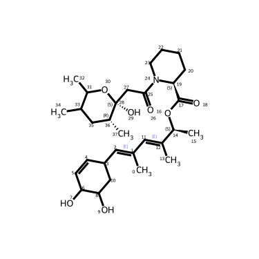 CC(=C\C1C=CC(O)C(O)C1)/C=C(\C)[C@H](C)OC(=O)[C@@H]1CCCCN1C(=O)C[C@]1(O)OC(C)C(C)C[C@H]1C